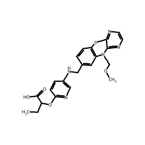 CCC(Oc1ccc(NCc2ccc3c(c2)N(COC)c2nccnc2S3)cn1)C(=O)O